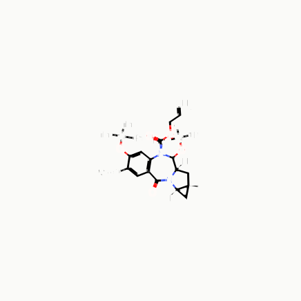 C=CCOC(=O)N1c2cc(O[Si](C(C)C)(C(C)C)C(C)C)c(OC)cc2C(=O)N2[C@@H](C[C@@H]3C[C@@H]32)C1O[Si](C)(C)C(C)(C)C